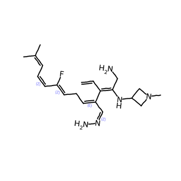 C=CC(=C(CN)NC1CN(C)C1)C(/C=N\N)=C\C/C=C(F)/C=C\C=C(C)C